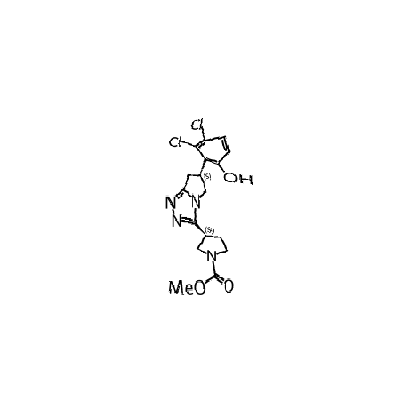 COC(=O)N1CC[C@H](c2nnc3n2C[C@H](c2c(O)ccc(Cl)c2Cl)C3)C1